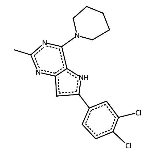 Cc1nc(N2CCCCC2)c2[nH]c(-c3ccc(Cl)c(Cl)c3)cc2n1